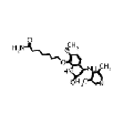 COc1ccc2c(Nc3c(C)cncc3C)cc(=O)[nH]c2c1OCCCCCCC(N)=O